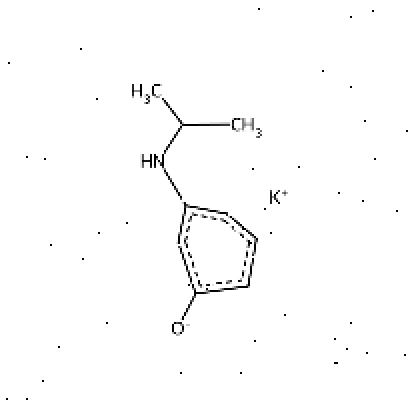 CC(C)Nc1cccc([O-])c1.[K+]